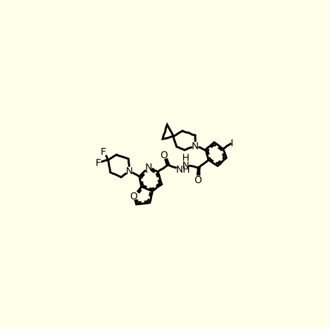 O=C(NNC(=O)c1ccc(I)cc1N1CCC2(CC1)CC2)c1cc2ccoc2c(N2CCC(F)(F)CC2)n1